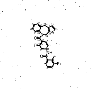 Cc1c(F)cccc1C(=O)Nc1ccc(C(=O)N2Cc3sccc3Cc3ccccc32)c(F)c1